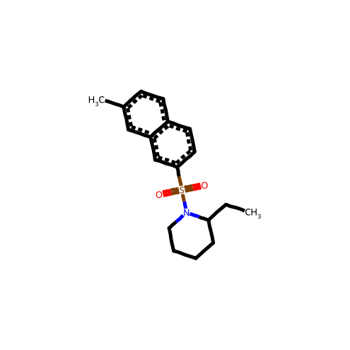 CCC1CCCCN1S(=O)(=O)c1ccc2ccc(C)cc2c1